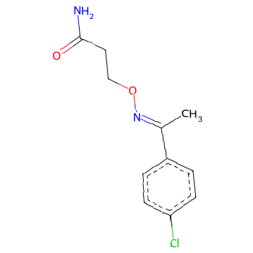 CC(=NOCCC(N)=O)c1ccc(Cl)cc1